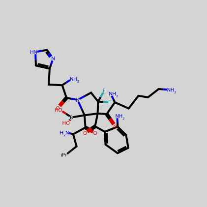 CC(C)CC(N)C(=O)C1(B(O)O)N(C(=O)C(N)Cc2c[nH]cn2)CC(F)(F)C1(C(=O)c1ccccc1N)C(=O)C(N)CCCCN